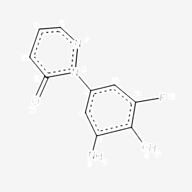 Cc1c(N)cc(-n2ncccc2=O)cc1F